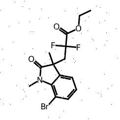 CCOC(=O)C(F)(F)CC1(C)C(=O)N(C)c2c(Br)cccc21